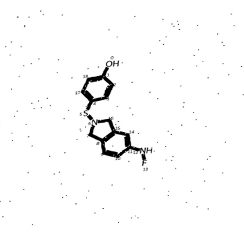 Oc1ccc(SN2Cc3ccc(NF)cc3C2)cc1